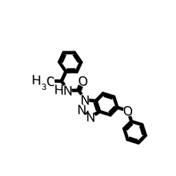 CC(NC(=O)n1nnc2cc(Oc3ccccc3)ccc21)c1ccccc1